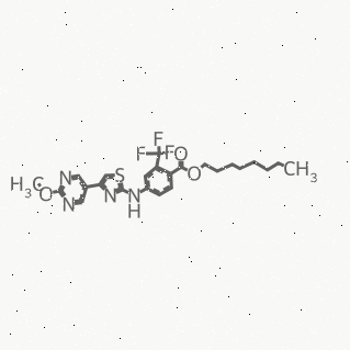 CCCCCCCCOC(=O)c1ccc(Nc2nc(-c3cnc(OC)nc3)cs2)cc1C(F)(F)F